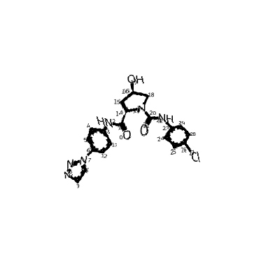 O=C(Nc1ccc(-n2ccnn2)cc1)[C@H]1C[C@@H](O)CN1C(=O)Nc1ccc(Cl)cc1